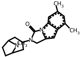 Cc1cc(C)c2cc3n(c2c1)C(=O)N(C1CC2CCC(C1)N2C)C3